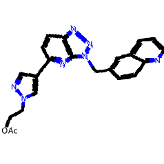 CC(=O)OCCn1cc(-c2ccc3nnn(Cc4ccc5ncccc5c4)c3n2)cn1